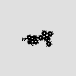 N#Cc1ccc2c(c1)C1(c3ccccc3Oc3ccccc31)c1cc(-c3ccc(-c4nc(-c5ccccc5)nc(-c5ccccc5)c4-c4ccccc4)cc3)ccc1-2